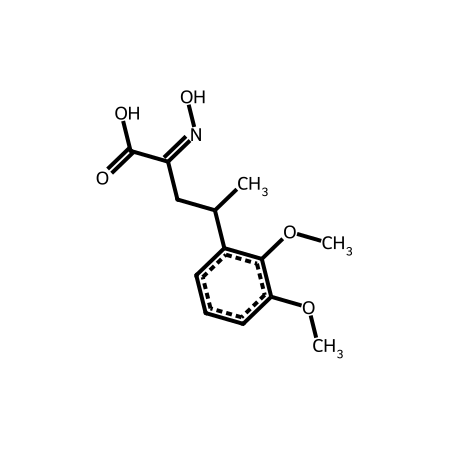 COc1cccc(C(C)CC(=NO)C(=O)O)c1OC